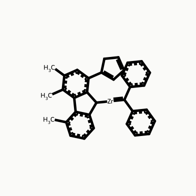 Cc1cc(C2=CC=CC2)c2c(c1C)-c1c(C)cccc1[CH]2[Zr]=[C](c1ccccc1)c1ccccc1